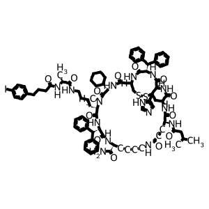 CC(C)CC(=O)N[C@H]1CCC(=O)NCCCC[C@H](C(N)=O)NC(=O)[C@H](C(c2ccccc2)c2ccccc2)NC(=O)[C@H](CCCCNC(=O)[C@H](C)NC(=O)CCCc2ccc(I)cc2)N(C)C(=O)[C@H](C2CCCCC2)NC(=O)[C@@H]2CSSC3(c4cnc[nH]4)C[C@H](NC1=O)C(=O)N[C@@H]3C(=O)N[C@@H](C(c1ccccc1)c1ccccc1)C(=O)N2